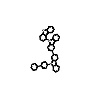 c1ccc(-c2ccc(-n3c4ccccc4c4ccc(-c5ccc6c(c5)c5ccccc5n6-c5cccc6oc7ccccc7c56)cc43)cc2)cc1